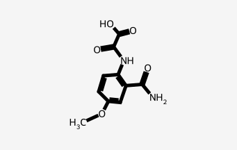 COc1ccc(NC(=O)C(=O)O)c(C(N)=O)c1